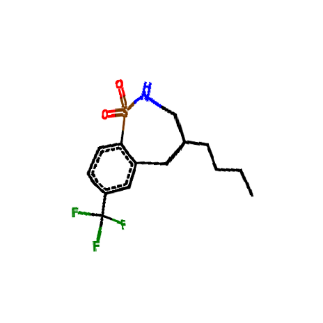 CCCCC1CNS(=O)(=O)c2ccc(C(F)(F)F)cc2C1